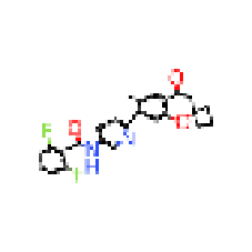 Cc1cc2c(cc1-c1ccc(NC(=O)c3c(F)cccc3F)cn1)OC1(CCC1)CC2=O